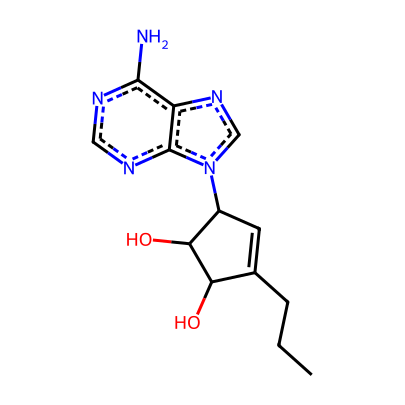 CCCC1=CC(n2cnc3c(N)ncnc32)C(O)C1O